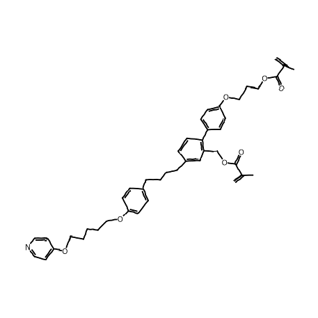 C=C(C)C(=O)OCCCOc1ccc(-c2ccc(CCCCc3ccc(OCCCCCOc4ccncc4)cc3)cc2COC(=O)C(=C)C)cc1